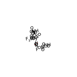 O=C1CCC(N2Cc3cc(CN4CC5CCC4CN5CC[C@H](CSc4ccccc4)Nc4ccc(S(=O)(=O)NC(=O)c5ccccc5)cc4S(=O)(=O)C(F)(F)F)c(F)cc3C2=O)C(=O)N1